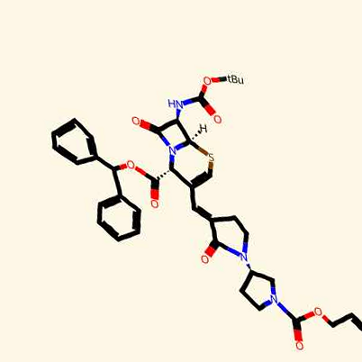 C=CCOC(=O)N1CC[C@H](N2CCC(=CC3=CS[C@@H]4[C@H](NC(=O)OC(C)(C)C)C(=O)N4[C@H]3C(=O)OC(c3ccccc3)c3ccccc3)C2=O)C1